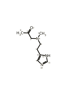 CC(=O)CN(C)CCc1cnc[nH]1